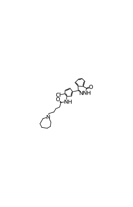 O=C(CCCCN1CCCCCC1)Nc1cc(-c2n[nH]c(=O)c3ccccc23)ccc1Cl